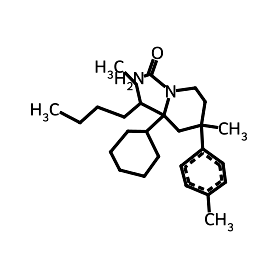 CCCCC(CC)C1(C2CCCCC2)CC(C)(c2ccc(C)cc2)CCN1C(N)=O